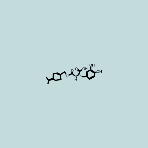 CC(C)=C1CC=C(COC(=O)N[C@@H](Cc2ccc(O)c(O)c2)C(=O)O)CC1